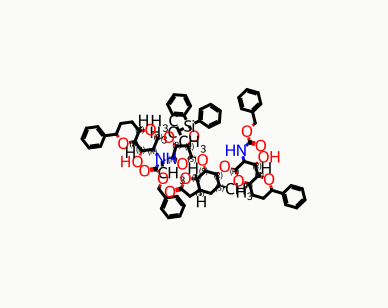 CC[C@H]1O[C@@H](O[C@@H]2[C@H]3OC(=O)C[C@@H]3C[C@H](C)[C@H]2O[C@H]2O[C@@H]3CCC(c4ccccc4)O[C@H]3[C@H](O)C2NC(=O)OCc2ccccc2)[C@H](O[Si](c2ccccc2)(c2ccccc2)C(C)(C)C)[C@@H]1O[C@H]1O[C@H]2CCC(c3ccccc3)O[C@H]2[C@H](O)[C@H]1NC(=O)OCc1ccccc1